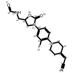 N#CC=C1CCN(c2ccc(N3CC(CNC=O)OC3=O)cc2F)CC1